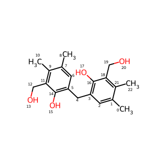 Cc1cc(Cc2cc(C)c(C)c(CO)c2O)c(O)c(CO)c1C